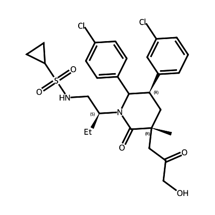 CC[C@@H](CNS(=O)(=O)C1CC1)N1C(=O)[C@@](C)(CC(=O)CO)C[C@H](c2cccc(Cl)c2)C1c1ccc(Cl)cc1